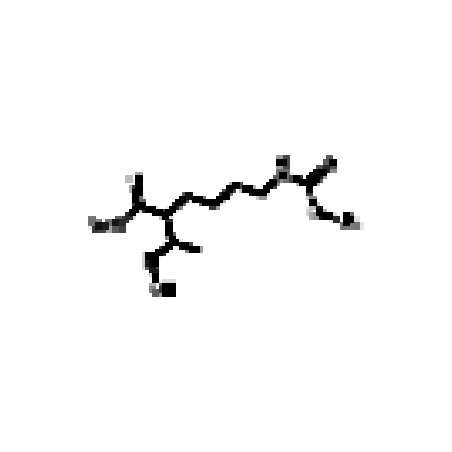 COC(=O)C(CCCCNC(=O)OC(C)(C)C)C(C)NO